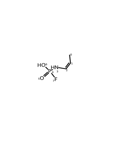 C/C=C\NP(=O)(O)F